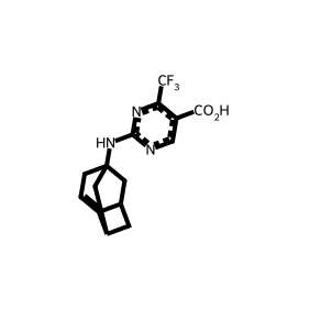 O=C(O)c1cnc(NC23CC=C4C(CC4C2)C3)nc1C(F)(F)F